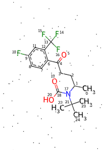 CC(CCC(=O)c1ccc(F)cc1C(F)(F)F)N(C(=O)O)C(C)(C)C